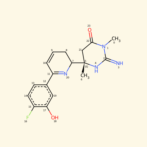 CN1C(=N)N[C@](C)(C2CC=CC(c3ccc(F)c(O)c3)=N2)CC1=O